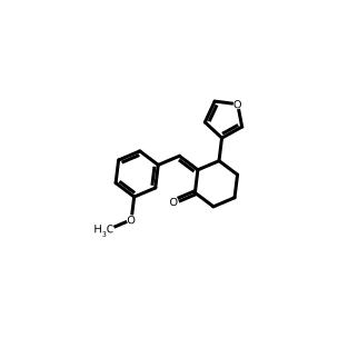 COc1cccc(C=C2C(=O)CCCC2c2ccoc2)c1